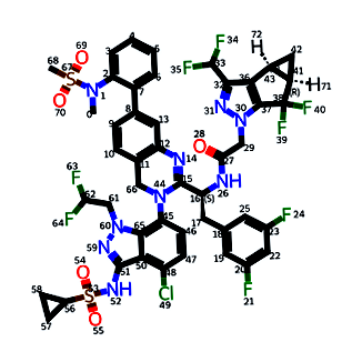 CN(c1ccccc1-c1ccc2c(c1)N=C([C@H](Cc1cc(F)cc(F)c1)NC(=O)Cn1nc(C(F)F)c3c1C(F)(F)[C@@H]1C[C@H]31)N(c1ccc(Cl)c3c(NS(=O)(=O)C4CC4)nn(CC(F)F)c13)C2)S(C)(=O)=O